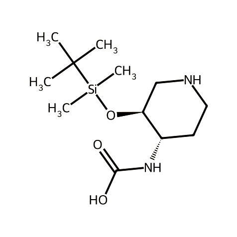 CC(C)(C)[Si](C)(C)O[C@H]1CNCC[C@@H]1NC(=O)O